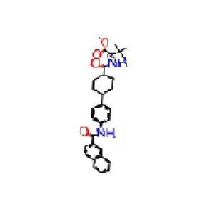 COC(=O)[C@@H](NC(=O)C1CCC(c2ccc(NC(=O)c3ccc4ccccc4c3)cc2)CC1)C(C)(C)C